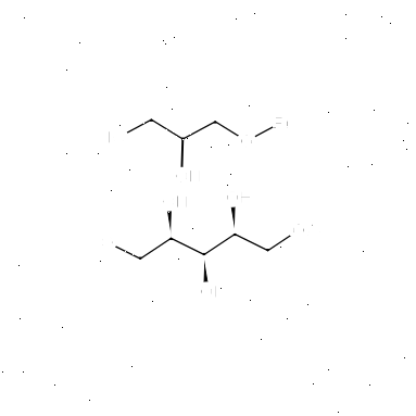 CC(=O)OC[C@H](O)[C@@H](O)[C@H](O)CO.CCOCC(O)CO